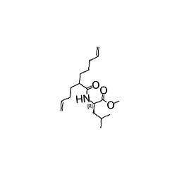 C=CCCCC(CCC=C)C(=O)N[C@H](CC(C)C)C(=O)OC